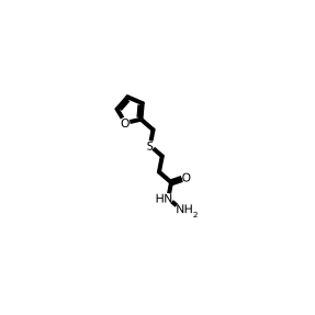 NNC(=O)CCSCc1ccco1